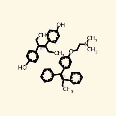 CC/C(=C(/CC)c1ccc(O)cc1)c1ccc(O)cc1.CC/C(=C(\c1ccccc1)c1ccc(OCCN(C)C)cc1)c1ccccc1